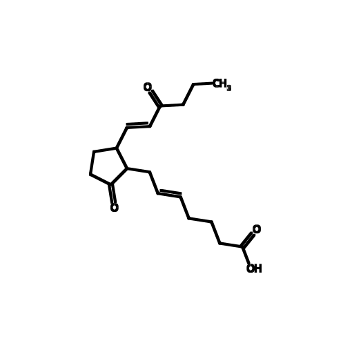 CCCC(=O)C=CC1CCC(=O)C1CC=CCCCC(=O)O